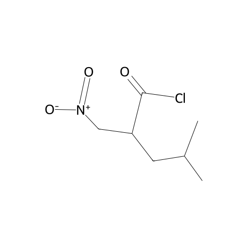 CC(C)CC(C[N+](=O)[O-])C(=O)Cl